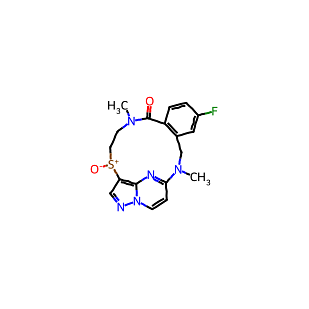 CN1CC[S+]([O-])c2cnn3ccc(nc23)N(C)Cc2cc(F)ccc2C1=O